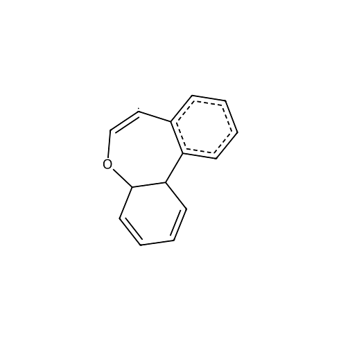 [C]1=COC2C=CC=CC2c2ccccc21